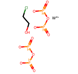 O=[PH]([O-])O[PH](=O)[O-].O=[PH]([O-])O[PH](=O)[O-].OCCCl.[W+4]